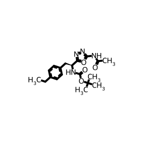 CCc1ccc(C[C@H](NC(=O)OC(C)(C)C)c2nnc(NC(C)=O)o2)cc1